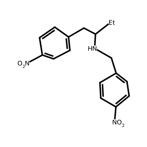 CCC(Cc1ccc([N+](=O)[O-])cc1)NCc1ccc([N+](=O)[O-])cc1